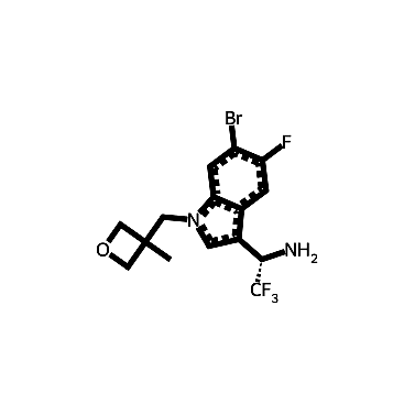 CC1(Cn2cc([C@H](N)C(F)(F)F)c3cc(F)c(Br)cc32)COC1